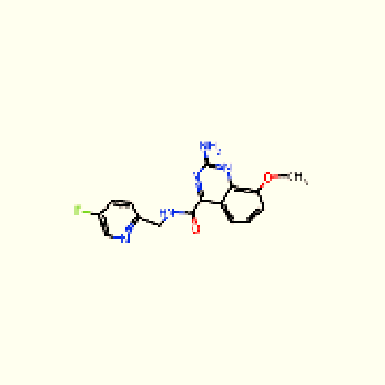 COc1cccc2c(C(=O)NCc3ccc(F)cn3)nc(N)nc12